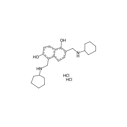 Cl.Cl.Oc1ccc2c(O)c(CNC3CCCCC3)ccc2c1CNC1CCCCC1